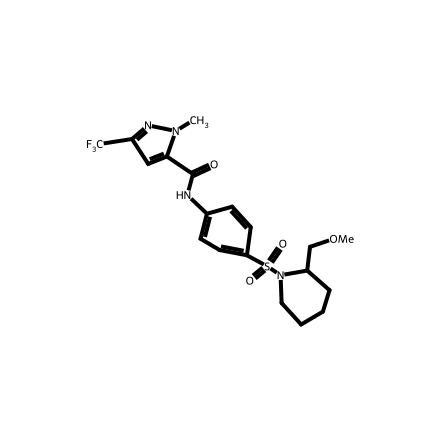 COCC1CCCCN1S(=O)(=O)c1ccc(NC(=O)c2cc(C(F)(F)F)nn2C)cc1